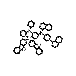 c1ccc(N2c3ccccc3[Si](c3ccc4c(c3)oc3ccccc34)(c3ccc4c(c3)oc3ccccc34)c3ccc(N(c4ccc(-c5cccc6ccccc56)cc4)c4cccc5ccccc45)cc32)cc1